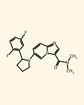 CN(C)C(=O)c1cnc2ccc(N3CCCC3c3cc(F)ccc3F)cn12